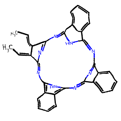 C/C=C1\C(=C/C)c2nc1nc1[nH]c(nc3nc(nc4[nH]c(n2)c2ccccc42)-c2ccccc2-3)c2ccccc12